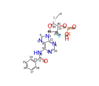 CC[C@H]1O[C@@H](n2cnc3c(NC(=O)c4ccccc4)ncnc32)[C@H](F)[C@@H]1O[PH](=O)O